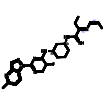 C/C=C\N=C(/CC)C(=N)N[C@@H]1CCC[C@H](NC2=NC(n3ncc4nc(C)ccc43)=NCC2F)C1